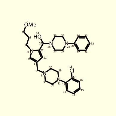 COCCCn1cc(CN2CCN(c3ccccc3Cl)CC2)cc1C(O)N1CCN(c2ccccc2)CC1